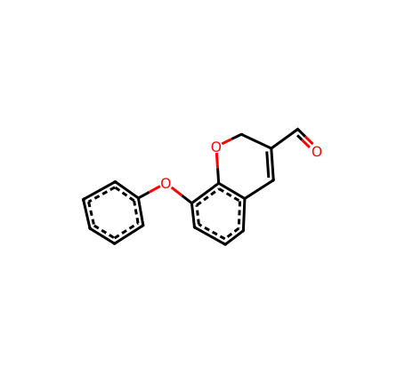 O=CC1=Cc2cccc(Oc3ccccc3)c2OC1